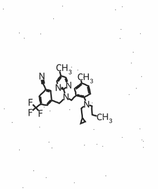 CCCN(CC1CC1)c1ccc(C)cc1CN(Cc1cc(C#N)cc(C(F)(F)F)c1)c1ncc(C)cn1